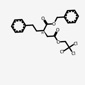 O=C(C[C@@H](CCc1ccccc1)C(=O)OCc1ccccc1)OCC(Cl)(Cl)Cl